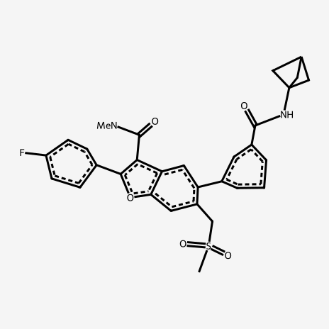 CNC(=O)c1c(-c2ccc(F)cc2)oc2cc(CS(C)(=O)=O)c(-c3cccc(C(=O)NC45CC(C4)C5)c3)cc12